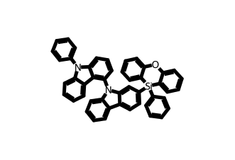 c1ccc(-n2c3ccccc3c3c(-n4c5ccccc5c5ccc([Si]6(c7ccccc7)c7ccccc7Oc7ccccc76)cc54)cccc32)cc1